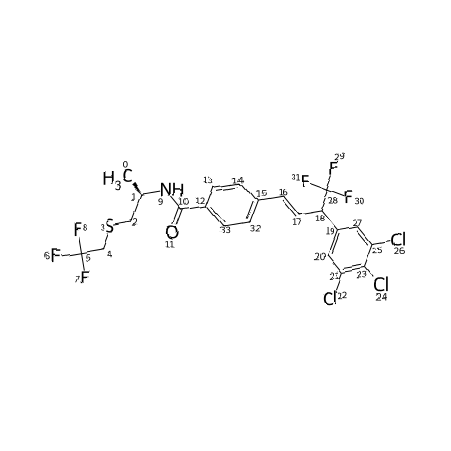 C[C@H](CSCC(F)(F)F)NC(=O)c1ccc(/C=C/C(c2cc(Cl)c(Cl)c(Cl)c2)C(F)(F)F)cc1